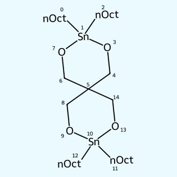 CCCCCCC[CH2][Sn]1([CH2]CCCCCCC)[O]CC2(C[O]1)C[O][Sn]([CH2]CCCCCCC)([CH2]CCCCCCC)[O]C2